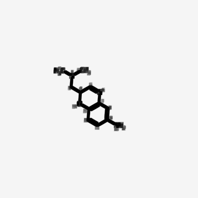 CN(C)CC1C=Nc2cc(N)ccc2O1